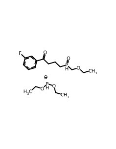 CCOC[PH](=O)CCCC(=O)c1cccc(F)c1.CCO[PH](=O)OCC